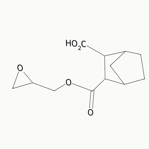 O=C(O)C1C2CCC(C2)C1C(=O)OCC1CO1